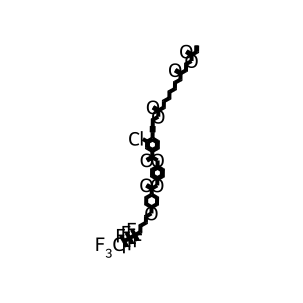 C=CC(=O)OCCC(=O)CCCCCCCC(=O)OCC#Cc1ccc(C(=O)Oc2ccc(OC(=O)C3CCC(OCCCCC(F)(F)C(F)(F)C(F)(F)C(F)(F)F)CC3)cc2)cc1Cl